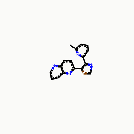 Cc1cccc(-c2ncsc2-c2ccc3ncccc3n2)n1